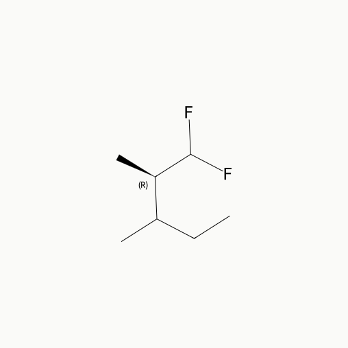 CCC(C)[C@@H](C)C(F)F